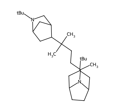 CC(CCC(C)(C)C1CC2CC1CN2C(C)(C)C)N1C2CCC1CC(C(C)(C)C)C2